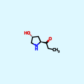 CCC(=O)[C@@H]1C[C@@H](O)CN1